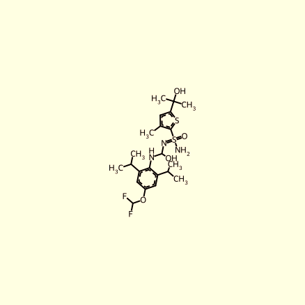 Cc1cc(C(C)(C)O)sc1S(N)(=O)=NC(O)Nc1c(C(C)C)cc(OC(F)F)cc1C(C)C